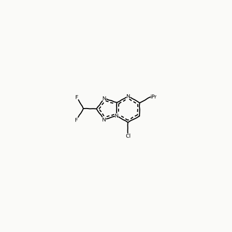 CC(C)c1cc(Cl)n2nc(C(F)F)nc2n1